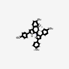 CC(C)(C)c1ccc(C2=CC(c3ccc(C(C)(C)C)cc3)=N/C2=C(/CCC(F)(F)F)c2[nH]c(-c3ccc(C(C)(C)C)cc3)cc2-c2ccc(C(C)(C)C)cc2)cc1